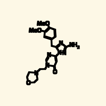 COc1ccc(Cc2nc(N)nn2-c2cc(=O)n(CCN3CCOCC3)cn2)cc1OC